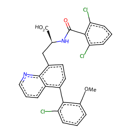 COc1cccc(Cl)c1-c1ccc(C[C@H](NC(=O)c2c(Cl)cccc2Cl)C(=O)O)c2ncccc12